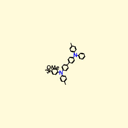 CO[Si](C)(C)c1ccc(N(c2ccc(C)cc2)c2ccc(-c3ccc(N(c4ccccc4)c4ccc(C)cc4)cc3)cc2)cc1